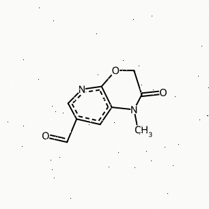 CN1C(=O)COc2ncc(C=O)cc21